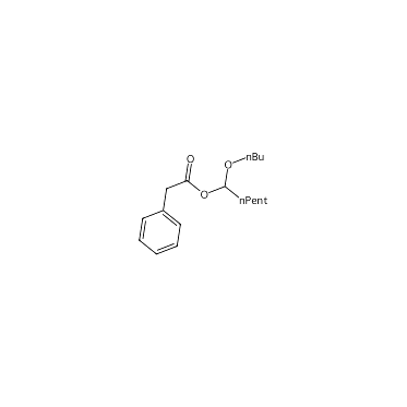 CCCCCC(OCCCC)OC(=O)Cc1ccccc1